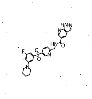 O=C(NCc1ccc(S(=O)(=O)c2cc(F)cc(N3CCCCC3)c2)cn1)c1cnc2[nH]ncc2c1